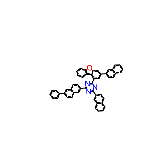 c1ccc(-c2ccc3cc(-c4nc(-c5ccc6ccccc6c5)nc(-c5cc(-c6ccc7ccccc7c6)cc6oc7ccccc7c56)n4)ccc3c2)cc1